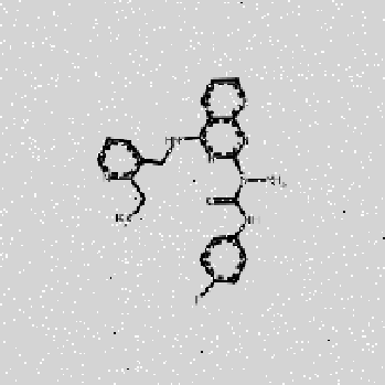 CCc1ncccc1CNc1nc(N(N)C(=O)Nc2ccc(F)cc2)nc2ncccc12